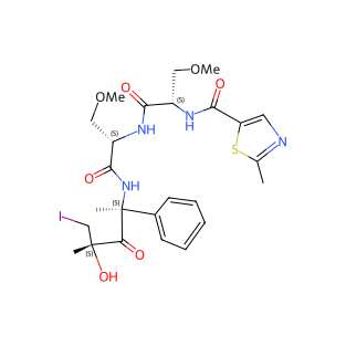 COC[C@H](NC(=O)c1cnc(C)s1)C(=O)N[C@@H](COC)C(=O)N[C@](C)(C(=O)[C@](C)(O)CI)c1ccccc1